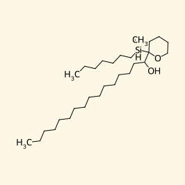 CCCCCCCCCCCCCCCC(O)C1([SiH](C)CCCCCCC)CCCCO1